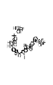 CN(C)Cc1c(OC(=O)N2CCC(N3CCCCC3)CC2)ccc2[nH]c(C(=O)c3cc4cc(NC(=O)Nc5cc(C(C)(C)C)on5)ccc4o3)cc12.O=C(O)C(F)(F)F.O=C(O)C(F)(F)F